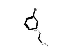 CCC[C@@H]1C=CC=C(Br)C1